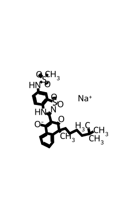 CC(C)(C)CCCCC1(C)C(=O)C(C2=NS(=O)(=O)c3cc(NS(C)(=O)=O)ccc3N2)=C([O-])c2ccccc21.[Na+]